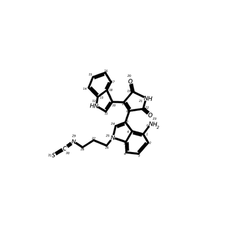 Nc1cccc2c1c(C1=C(c3c[nH]c4ccccc34)C(=O)NC1=O)cn2CCCN=C=S